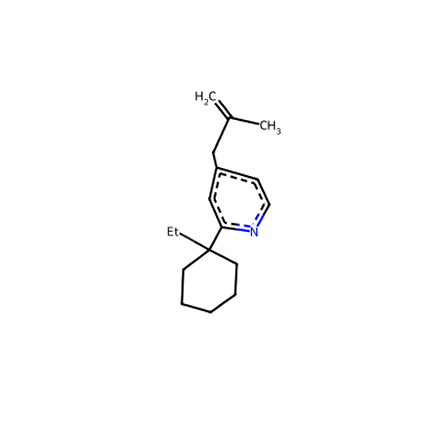 C=C(C)Cc1ccnc(C2(CC)CCCCC2)c1